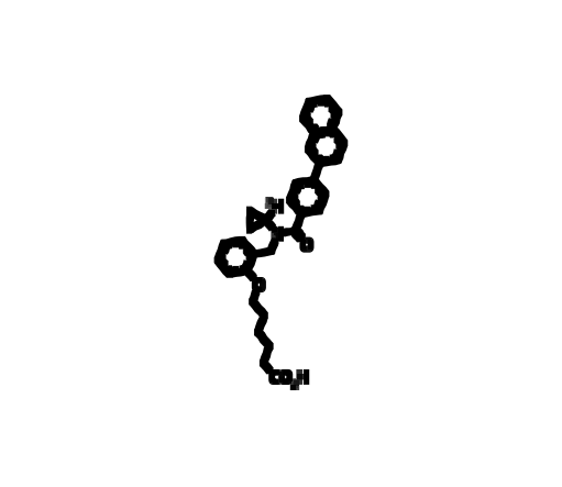 [2H]C1(N(Cc2ccccc2OCCCCCC(=O)O)C(=O)c2ccc(-c3ccc4ccccc4c3)cc2)CC1